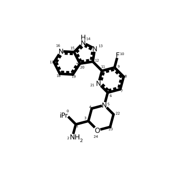 CC(C)C(N)C1CN(c2ccc(F)c(-c3n[nH]c4ncccc34)n2)CCO1